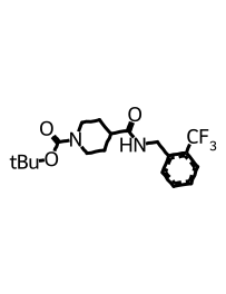 CC(C)(C)OC(=O)N1CCC(C(=O)NCc2ccccc2C(F)(F)F)CC1